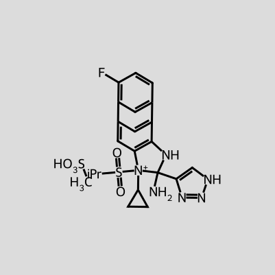 CC(C)S(=O)(=O)[N+]1(C2CC2)c2cc3cc(c2NC1(N)c1c[nH]nn1)c1ccc(F)c3c1.CS(=O)(=O)O